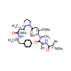 CC[C@H](C)[C@@H]([C@@H](CC(=O)N1CCC[C@H]1[C@H](OC)[C@@H](C)C(=O)N[C@H](C)Cc1ccccc1)OC)N(C)C(=O)[C@@H](NC(=O)[C@@H](NC)C(C)C)C(C)C